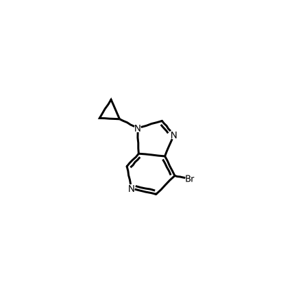 Brc1cncc2c1ncn2C1CC1